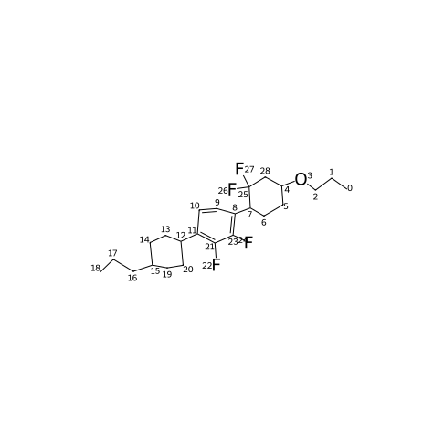 CCCOC1CCC(c2ccc(C3CCC(CCC)CC3)c(F)c2F)C(F)(F)C1